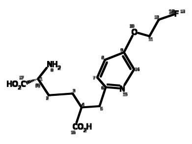 N[C@H](CCC(Cc1ccc(OCC[18F])cn1)C(=O)O)C(=O)O